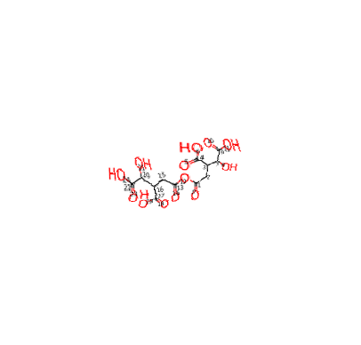 O=C(CC(C(=O)O)C(O)C(=O)O)OC(=O)CC(C(=O)O)C(O)C(=O)O